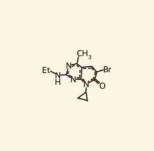 CCNc1nc(C)c2cc(Br)c(=O)n(C3CC3)c2n1